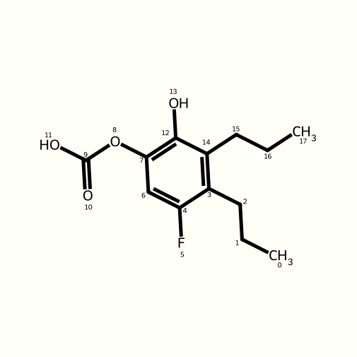 CCCc1c(F)cc(OC(=O)O)c(O)c1CCC